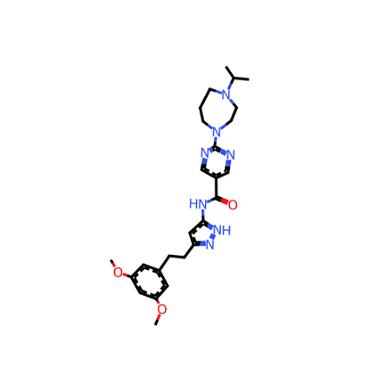 COc1cc(CCc2cc(NC(=O)c3cnc(N4CCCN(C(C)C)CC4)nc3)[nH]n2)cc(OC)c1